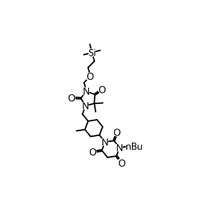 CCCCN1C(=O)CC(=O)N(C2CCC(CN3C(=O)N(COCC[Si](C)(C)C)C(=O)C3(C)C)C(C)C2)C1=O